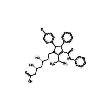 CC(C)C1=C(C(=O)Nc2ccccc2)C(c2ccccc2)C(c2ccc(F)cc2)N1CC[C@@H](O)C[C@@H](O)CC(=O)O